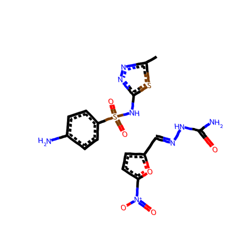 Cc1nnc(NS(=O)(=O)c2ccc(N)cc2)s1.NC(=O)N/N=C/c1ccc([N+](=O)[O-])o1